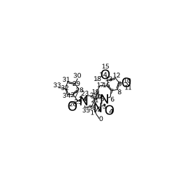 CCN1C(=O)N2Cc3cc(OC)cc(OC)c3[C@@H](C)C=C2C12CCN(C(=O)c1cc(C)cc(C)c1)CC2